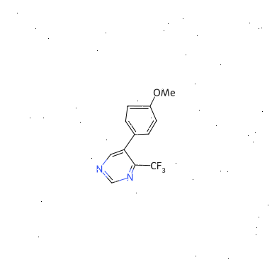 COc1ccc(-c2cncnc2C(F)(F)F)cc1